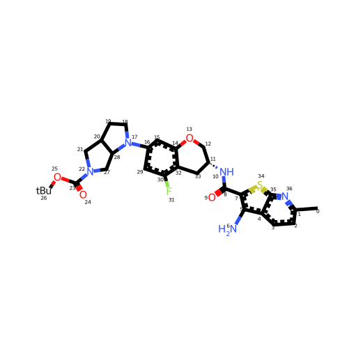 Cc1ccc2c(N)c(C(=O)N[C@H]3COc4cc(N5CCC6CN(C(=O)OC(C)(C)C)CC65)cc(F)c4C3)sc2n1